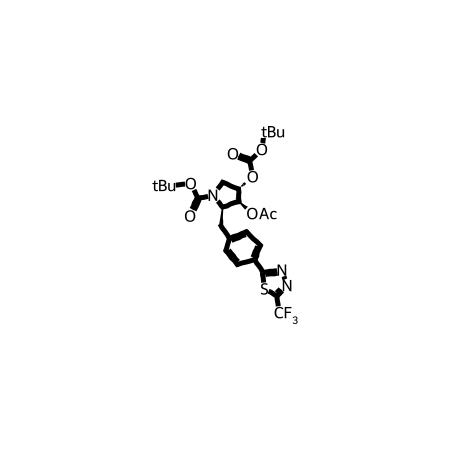 CC(=O)O[C@@H]1[C@@H](OC(=O)OC(C)(C)C)CN(C(=O)OC(C)(C)C)[C@@H]1Cc1ccc(-c2nnc(C(F)(F)F)s2)cc1